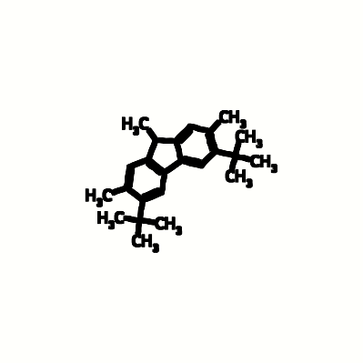 Cc1cc2c(cc1C(C)(C)C)-c1cc(C(C)(C)C)c(C)cc1C2C